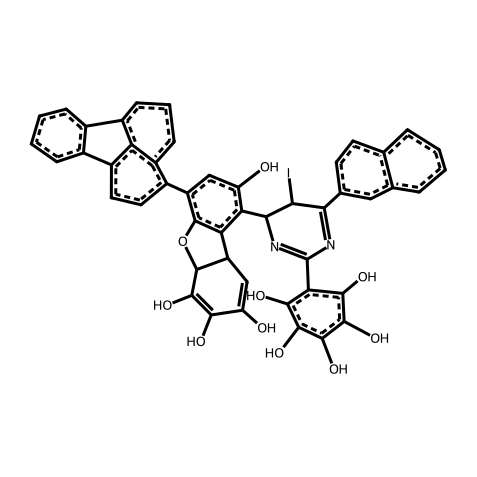 OC1=CC2c3c(c(-c4ccc5c6c(cccc46)-c4ccccc4-5)cc(O)c3C3N=C(c4c(O)c(O)c(O)c(O)c4O)N=C(c4ccc5ccccc5c4)C3I)OC2C(O)=C1O